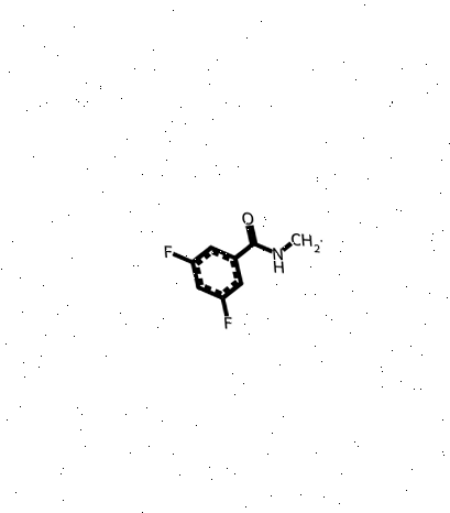 [CH2]NC(=O)c1cc(F)cc(F)c1